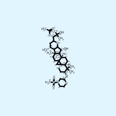 CC(=O)O[C@@H](C1C[C@@H](C)C2C(O1)[C@H](O)[C@@]1(C)[C@@H]3CC[C@H]4C(C)(C)[C@@H](O[C@H]5CN(S(C)(=O)=O)CCO5)CC[C@@]45CC35CC[C@]21C)C(C)(C)O